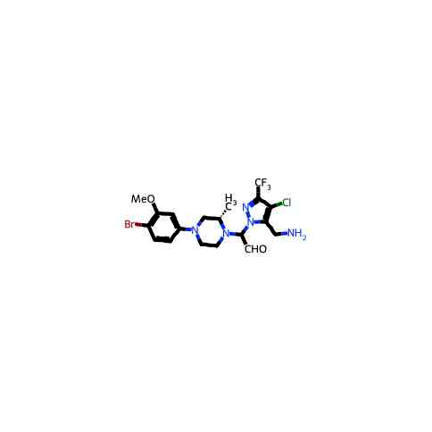 COc1cc(N2CCN(C(C=O)n3nc(C(F)(F)F)c(Cl)c3CN)[C@@H](C)C2)ccc1Br